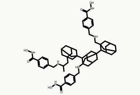 CC(CC12CC3CC(C1)CC(C1C4CC5CC(C6C7CC8CC(C7)CC6(CNCc6ccc(C(=O)NO)cc6)C8)(C4)CC1(NCc1ccc(C(=O)NO)cc1)C5)(C3)C2)NCc1ccc(C(=O)NO)cc1